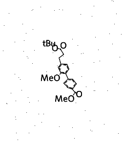 COC(=O)c1ccc(-c2ccc(CCC(=O)OC(C)(C)C)cc2OC)cc1